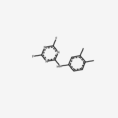 Cc1ccc(Nc2nc(F)nc(F)n2)cc1C